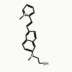 CN(CCS)c1ccc2cc(/C=C/c3cccc[n+]3C)ccc2c1